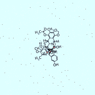 COc1c(C)cc2c(c1O)[C@@H]1C3[C@@H]4SC[C@]5(NCCc6c5[nH]c5ccc(O)cc65)C(=O)OC[C@@H](c5c6c(c(C)c(OC(C)=O)c54)OCO6)N3[C@@H](O)[C@H](C2)N1C